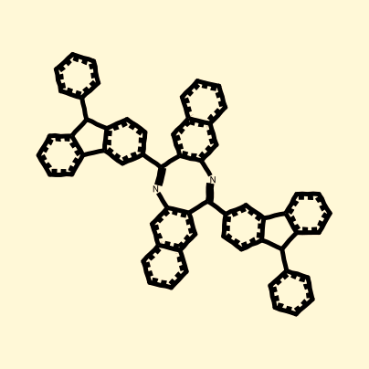 c1ccc(C2c3ccccc3-c3cc(/C4=N/c5cc6ccccc6cc5/C(c5ccc6c(c5)-c5ccccc5C6c5ccccc5)=N\c5cc6ccccc6cc54)ccc32)cc1